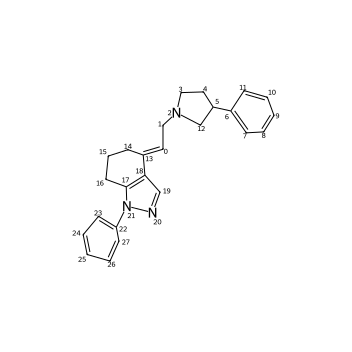 C(CN1CCC(c2ccccc2)C1)=C1CCCc2c1cnn2-c1ccccc1